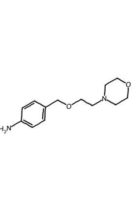 Nc1ccc(COCCN2CCOCC2)cc1